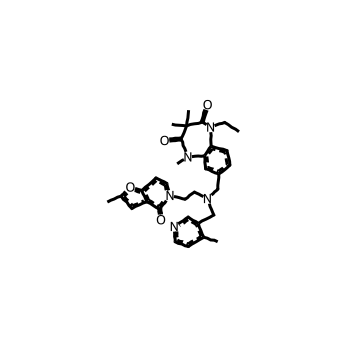 CCN1C(=O)C(C)(C)C(=O)N(C)c2cc(CN(CCn3ccc4oc(C)cc4c3=O)Cc3cnccc3C)ccc21